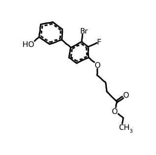 CCOC(=O)CCCOc1ccc(-c2cccc(O)c2)c(Br)c1F